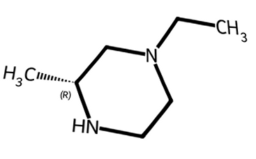 CCN1CCN[C@H](C)C1